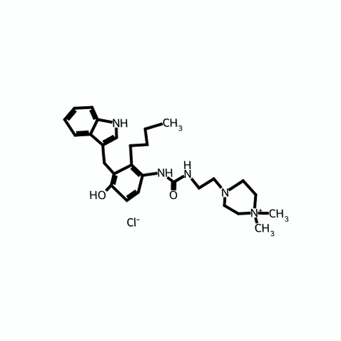 CCCCc1c(NC(=O)NCCN2CC[N+](C)(C)CC2)ccc(O)c1Cc1c[nH]c2ccccc12.[Cl-]